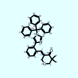 CC1(C)COC/C(=C\c2ccccc2-c2cn(C(c3ccccc3)(c3ccccc3)c3ccccc3)cn2)C1=O